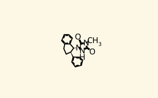 Cn1c(=O)[nH]n([C@H]2c3ccccc3CC[C@@H]2c2ccccc2)c1=O